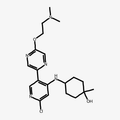 CN(C)CCOc1cnc(-c2cnc(Cl)cc2NC2CCC(C)(O)CC2)cn1